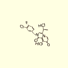 CC(C)c1cn(Cc2ccc(F)c(Cl)c2)c(=O)c2c(O)c(=O)ccn12.Cl